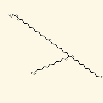 CCCCCCCCCCOC(CCCCCCOCCCCCCCCCCOOC)OCCCCCCCCCC